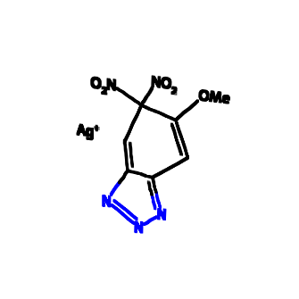 COC1=CC2=NN=NC2=CC1([N+](=O)[O-])[N+](=O)[O-].[Ag+]